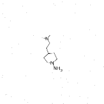 CN(C)CCC1CCN(N)CC1